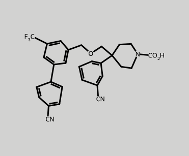 N#Cc1ccc(-c2cc(COCC3(c4cccc(C#N)c4)CCN(C(=O)O)CC3)cc(C(F)(F)F)c2)cc1